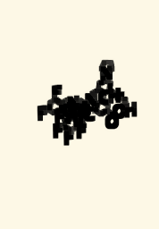 Cc1cc(C(=O)O)cc(C)c1N(Cc1cc(C2CC2)cc(N2CCCC2)c1)C(=O)CN(Cc1c(F)cc(F)cc1F)S(=O)(=O)c1c(F)c(F)c(F)c(F)c1F